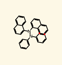 c1ccc(N(c2ccccc2)N(c2cccc3ccccc23)c2cccc3ccccc23)cc1